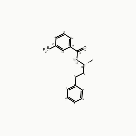 C[C@H](CCc1ccccc1)NC(=O)c1cccc(C(F)(F)F)c1